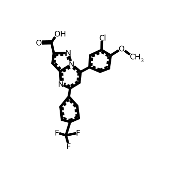 COc1ccc(-c2cc(-c3ccc(C(F)(F)F)cc3)nc3cc(C(=O)O)nn23)cc1Cl